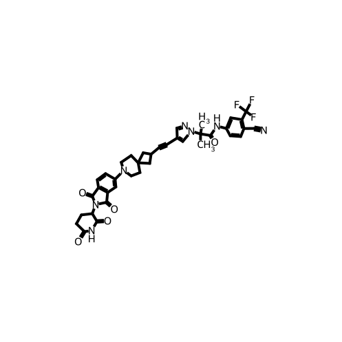 CC(C)(C(=O)Nc1ccc(C#N)c(C(F)(F)F)c1)n1cc(C#CC2CC3(CCN(c4ccc5c(c4)C(=O)N(C4CCC(=O)NC4=O)C5=O)CC3)C2)cn1